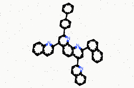 c1ccc(-c2ccc(-c3cc(-c4ccc5ccccc5n4)c4ccc5c(-c6ccc7ccccc7n6)cc(-c6cccc7ccccc67)nc5c4n3)cc2)cc1